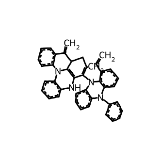 C=Cc1cccc2c1N(C1=C(C)CC3C(=C)c4ccccc4N4C3=C1Nc1ccccc14)c1ccccc1N2c1ccccc1